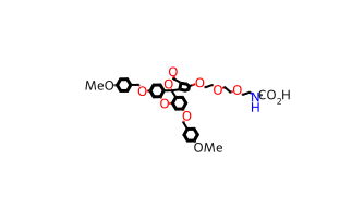 COc1ccc(COc2ccc3c(c2)Oc2cc(OCc4ccc(OC)cc4)ccc2C32OC(=O)c3cc(OCCOCCOCCNC(=O)O)ccc32)cc1